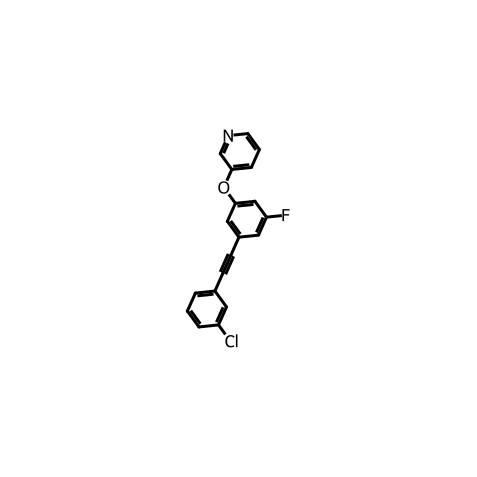 Fc1cc(C#Cc2cccc(Cl)c2)cc(Oc2cccnc2)c1